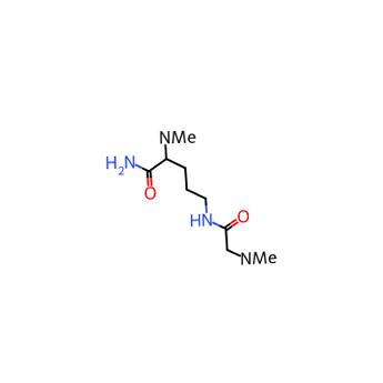 CNCC(=O)NCCCC(NC)C(N)=O